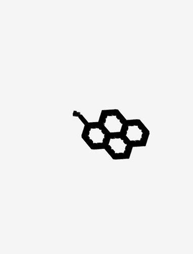 CC(=O)c1ccc2ccc3cccc4ccc1c2c34